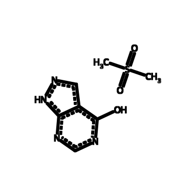 CS(C)(=O)=O.Oc1ncnc2[nH]ncc12